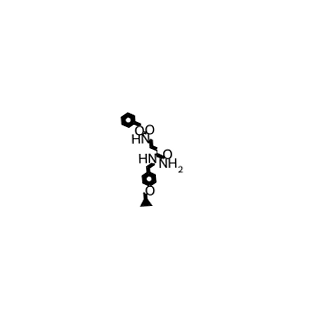 NC(=O)[C@@H](CCCNC(=O)OCc1ccccc1)NCCc1ccc(OCC2CC2)cc1